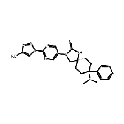 CN(C)[C@]1(c2ccccc2)CC[C@]2(CC1)CN(c1cnc(-n3cc(C(F)(F)F)nn3)nc1)C(=O)N2